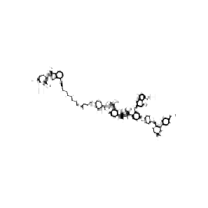 CN(CCCCCCCC#Cc1cccc2c1CN(C1CCC(=O)NC1=O)C2=O)CCCN1CCC(CNc2ccc(S(=O)(=O)NC(=O)c3ccc(N4CCN(CC5=C(c6ccc(Cl)cc6)CC(C)(C)CC5)CC4)cc3Oc3cnc4[nH]ccc4c3)cc2[N+](=O)[O-])CC1